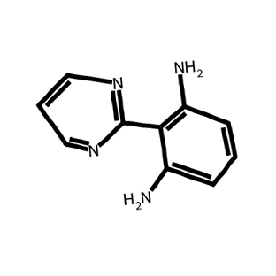 Nc1cccc(N)c1-c1ncccn1